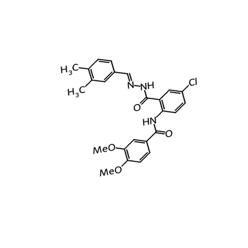 COc1ccc(C(=O)Nc2ccc(Cl)cc2C(=O)NN=Cc2ccc(C)c(C)c2)cc1OC